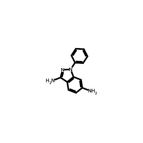 Nc1ccc2c(N)nn(-c3ccccc3)c2c1